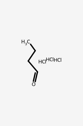 CCCC=O.Cl.Cl.Cl